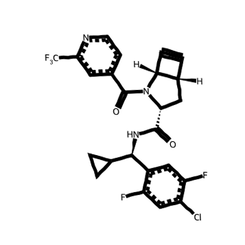 O=C(N[C@@H](c1cc(F)c(Cl)cc1F)C1CC1)[C@H]1C[C@H]2C#C[C@H]2N1C(=O)c1ccnc(C(F)(F)F)c1